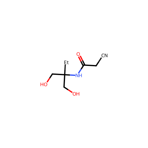 CCC(CO)(CO)NC(=O)CC#N